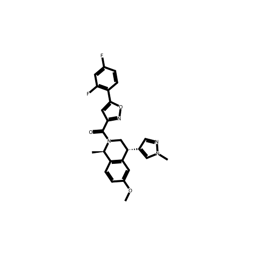 COc1ccc2c(c1)[C@@H](c1cnn(C)c1)CN(C(=O)c1cc(-c3ccc(F)cc3F)on1)[C@@H]2C